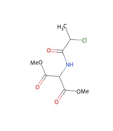 COC(=O)C(NC(=O)C(C)Cl)C(=O)OC